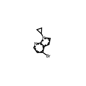 Brc1ccnc2c1ccn2C1CC1